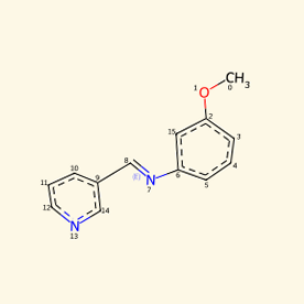 COc1cccc(/N=C/c2cccnc2)c1